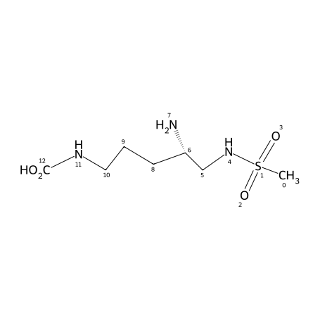 CS(=O)(=O)NC[C@@H](N)CCCNC(=O)O